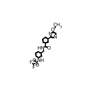 CCOc1cncc(-c2cccc(C(=O)NCc3cccc(NS(=O)(=O)C(F)F)c3)c2)n1